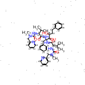 CC(C)[C@H](NC(=O)N(C)Cc1ccccn1)C(=O)NC(Cc1ccccc1)(NC(=O)[C@@H](NC(=O)N(C)Cc1ccccn1)C(C)C)C(O)C(O)CCc1ccccc1